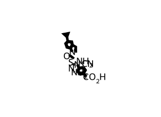 N#Cc1cc(C(=O)O)ccc1N(N)/C(=N\N)SCC(=O)N1CCc2cc(C3CC3)ccc21